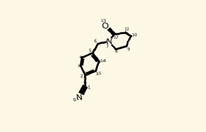 N#Cc1ccc(CN2CCCCC2=O)cc1